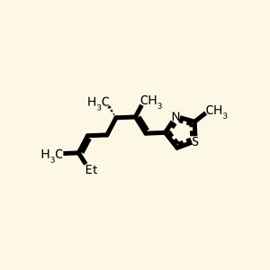 CC/C(C)=C\C[C@H](C)/C(C)=C/c1csc(C)n1